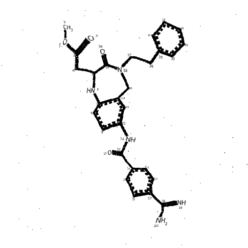 COC(=O)CC1Nc2ccc(NC(=O)c3ccc(C(=N)N)cc3)cc2CN(CCc2ccccc2)C1=O